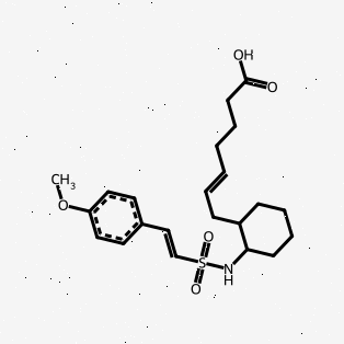 COc1ccc(/C=C/S(=O)(=O)NC2CCCCC2C/C=C/CCCC(=O)O)cc1